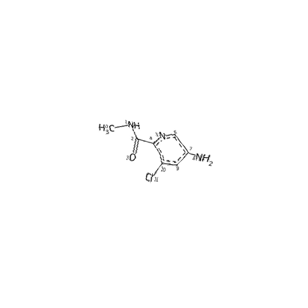 CNC(=O)c1ncc(N)cc1Cl